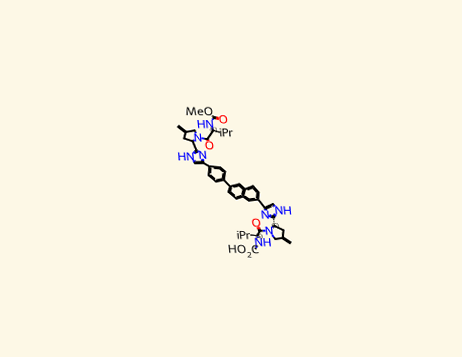 C=C1CC(c2nc(-c3ccc(-c4ccc5cc(-c6c[nH]c([C@@H]7CC(=C)CN7C(=O)[C@@H](NC(=O)O)C(C)C)n6)ccc5c4)cc3)c[nH]2)N(C(=O)[C@@H](NC(=O)OC)C(C)C)C1